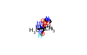 CC(C)c1cc(OC(F)(F)F)nc(C(C)C)c1NC(=O)NS(=O)(=O)c1cnn2c1OCCC2